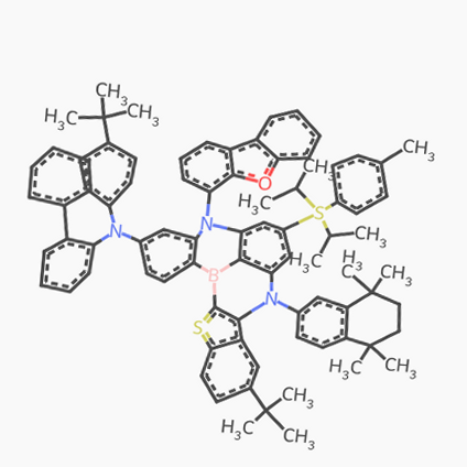 Cc1ccc(S(c2cc3c4c(c2)N(c2cccc5c2oc2ccccc25)c2cc(N(c5ccc(C(C)(C)C)cc5)c5ccccc5-c5ccccc5)ccc2B4c2sc4ccc(C(C)(C)C)cc4c2N3c2ccc3c(c2)C(C)(C)CCC3(C)C)(C(C)C)C(C)C)cc1